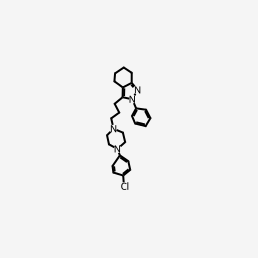 Clc1ccc(N2CCN(CCCc3c4c(nn3-c3ccccc3)CCCC4)CC2)cc1